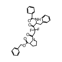 O=C(NC(Cc1ccccc1)C(=O)C(F)(F)CC(=O)N1CCC[C@H]1C(=O)OCc1ccccc1)c1ccccc1